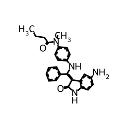 CCCC(=O)N(C)c1ccc(NC(=C2C(=O)Nc3ccc(N)cc32)c2ccccc2)cc1